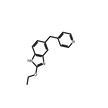 CCOc1nc2cc(Cc3ccncc3)ccc2[nH]1